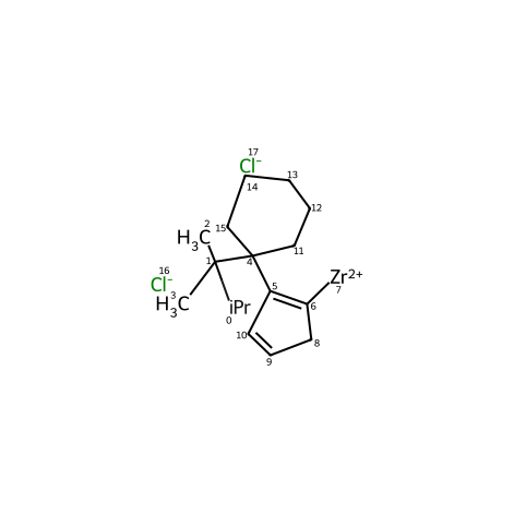 CC(C)C(C)(C)C1(C2=[C]([Zr+2])CC=C2)CCCCC1.[Cl-].[Cl-]